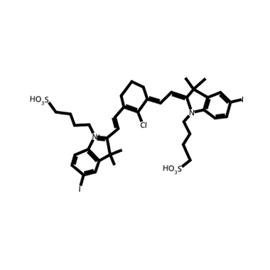 CC1(C)C(/C=C/C2=C(Cl)C(=C/C=C3\N(CCCCS(=O)(=O)O)c4ccc(I)cc4C3(C)C)/CCC2)=[N+](CCCCS(=O)(=O)O)c2ccc(I)cc21